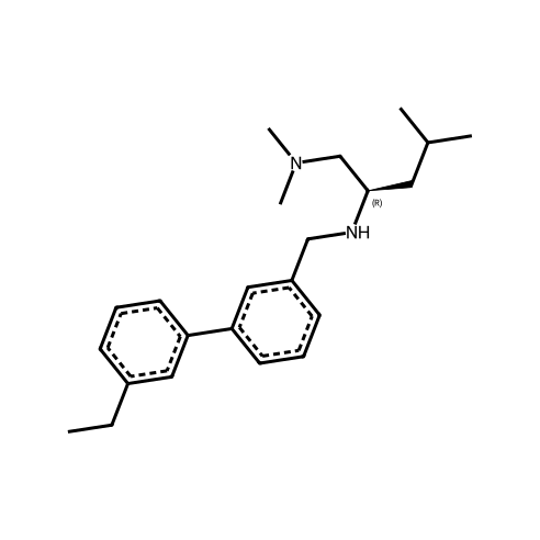 CCc1cccc(-c2cccc(CN[C@H](CC(C)C)CN(C)C)c2)c1